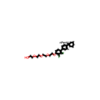 CCCCCC1(c2ccc(-c3ccc(OCCOCCOCCOCCO)c(F)c3F)cc2)CCCCC1